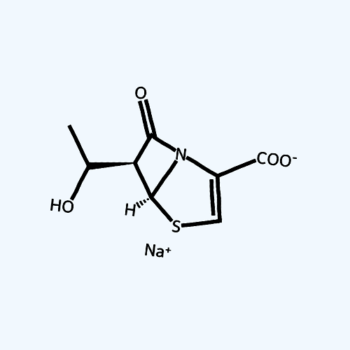 CC(O)[C@H]1C(=O)N2C(C(=O)[O-])=CS[C@@H]12.[Na+]